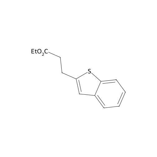 CCOC(=O)CCc1cc2ccccc2s1